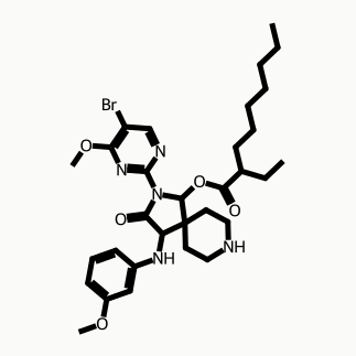 CCCCCCCC(CC)C(=O)OC1N(c2ncc(Br)c(OC)n2)C(=O)C(Nc2cccc(OC)c2)C12CCNCC2